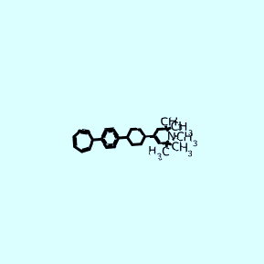 CN1C(C)(C)C=C(C2CCC(c3ccc(C4C=CC=CC=C4)cc3)CC2)CC1(C)C